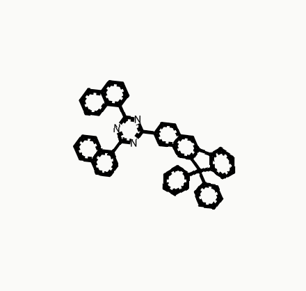 c1ccc(C2(c3ccccc3)c3ccccc3-c3cc4ccc(-c5nc(-c6cccc7ccccc67)nc(-c6cccc7ccccc67)n5)cc4cc32)cc1